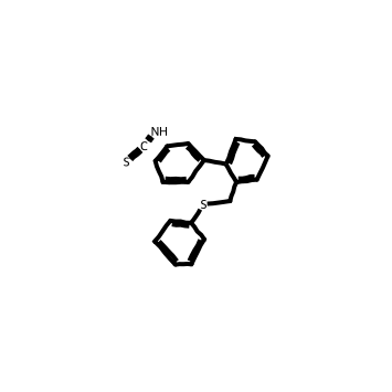 N=C=S.c1ccc(SCc2ccccc2-c2ccccc2)cc1